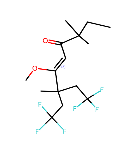 CCC(C)(C)C(=O)/C=C(\OC)C(C)(CC(F)(F)F)CC(F)(F)F